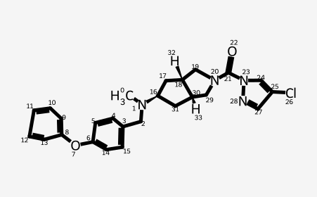 CN(Cc1ccc(Oc2ccccc2)cc1)[C@H]1C[C@@H]2CN(C(=O)n3cc(Cl)cn3)C[C@@H]2C1